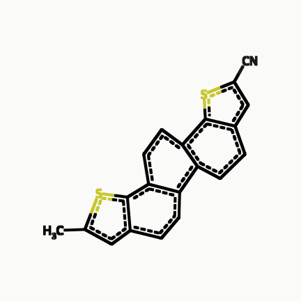 Cc1cc2ccc3c4ccc5cc(C#N)sc5c4ccc3c2s1